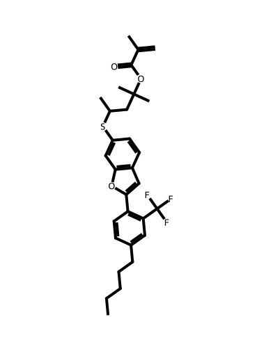 C=C(C)C(=O)OC(C)(C)CC(C)Sc1ccc2cc(-c3ccc(CCCCC)cc3C(F)(F)F)oc2c1